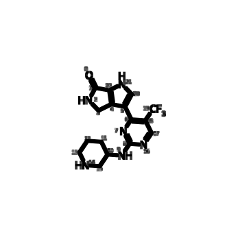 O=C1NCc2c(-c3nc(NC4CCCNC4)ncc3C(F)(F)F)c[nH]c21